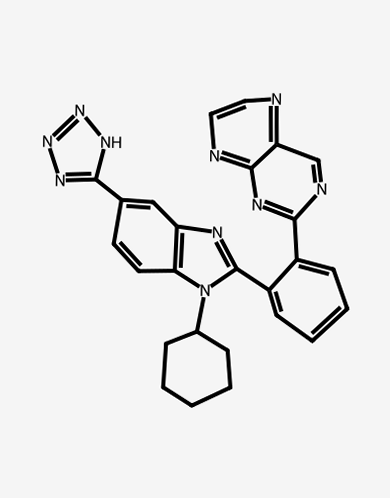 c1ccc(-c2nc3cc(-c4nnn[nH]4)ccc3n2C2CCCCC2)c(-c2ncc3nccnc3n2)c1